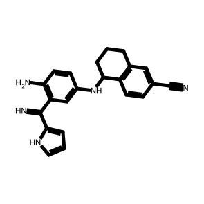 N#Cc1ccc2c(c1)CCCC2Nc1ccc(N)c(C(=N)c2ccc[nH]2)c1